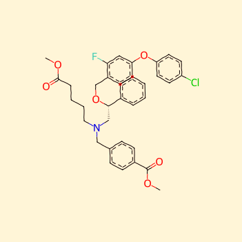 COC(=O)CCCCN(Cc1ccc(C(=O)OC)cc1)C[C@H](OCc1ccc(Oc2ccc(Cl)cc2)cc1F)c1ccccc1